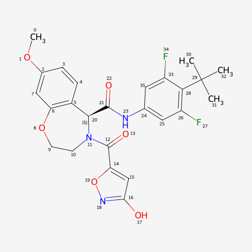 COc1ccc2c(c1)OCCN(C(=O)c1cc(O)no1)[C@@H]2C(=O)Nc1cc(F)c(C(C)(C)C)c(F)c1